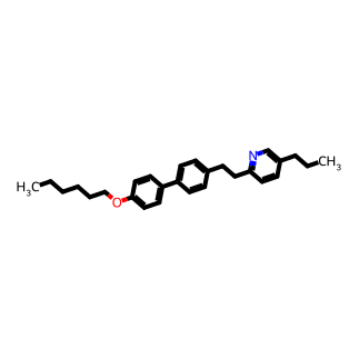 CCCCCCOc1ccc(-c2ccc(CCc3ccc(CCC)cn3)cc2)cc1